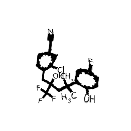 CC(C)(CC(O)(Cc1ccc(C#N)cc1Cl)C(F)(F)F)c1cc(F)ccc1O